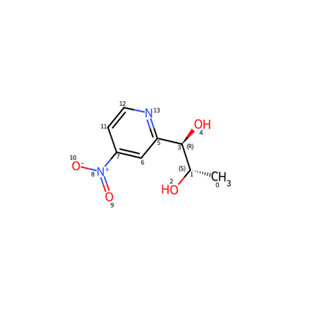 C[C@H](O)[C@H](O)c1cc([N+](=O)[O-])ccn1